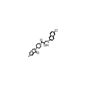 CN1C=C2C(=O)N(C3CCN(C(=O)[C@H](O)CSc4ccc5cc(Cl)ccc5c4)CC3)CN2C1